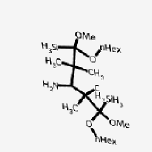 CCCCCCOC([SiH3])(OC)C(C)(C)C(N)C(C)(C)C([SiH3])(OC)OCCCCCC